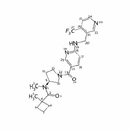 CN(C(=O)C1(C)CCC1)[C@H]1CCN(C(=O)c2ccc(NCc3cnccc3C(F)(F)F)nc2)C1